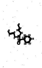 C/C=C/CN(C/C=C/C)C(=O)c1ccccc1